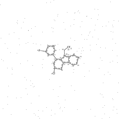 Fc1cncc(-c2cc(Cl)cc3c4ccncc4n(CC(F)(F)F)c23)c1